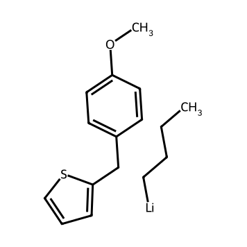 COc1ccc(Cc2cccs2)cc1.[Li][CH2]CCC